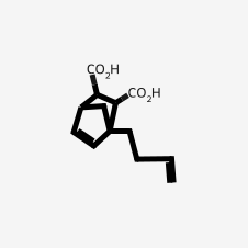 C=CCCC12C=CC(C1)C(C(=O)O)C2C(=O)O